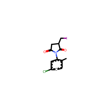 Cc1ccc(Cl)cc1N1C(=O)CC(CI)C1=O